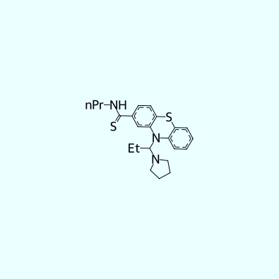 CCCNC(=S)c1ccc2c(c1)N(C(CC)N1CCCC1)c1ccccc1S2